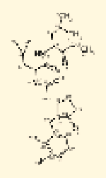 COC(=O)[C@H](CC(C)C)NC(=O)[C@H](CC1CC1)NC(=O)C[C@@H]1CCC(=O)N1Cc1cccc(F)c1F